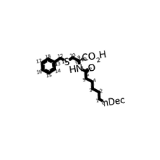 CCCCCCCCCCCCCCCC(=O)N[C@@H](CSCc1ccccc1)C(=O)O